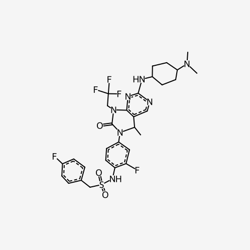 CC1c2cnc(NC3CCC(N(C)C)CC3)nc2N(CC(F)(F)F)C(=O)N1c1ccc(NS(=O)(=O)Cc2ccc(F)cc2)c(F)c1